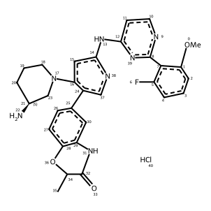 COc1cccc(F)c1-c1nccc(Nc2cc(N3CCC[C@H](N)C3)c(-c3ccc4c(c3)NC(=O)C(C)O4)cn2)n1.Cl